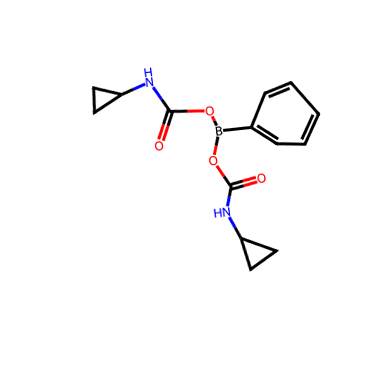 O=C(NC1CC1)OB(OC(=O)NC1CC1)c1ccccc1